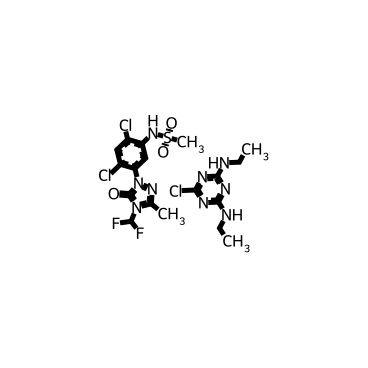 CCNc1nc(Cl)nc(NCC)n1.Cc1nn(-c2cc(NS(C)(=O)=O)c(Cl)cc2Cl)c(=O)n1C(F)F